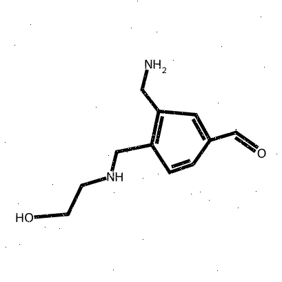 NCc1cc([C]=O)ccc1CNCCO